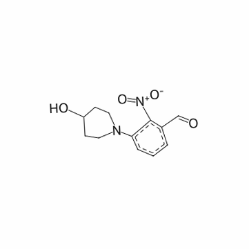 O=Cc1cccc(N2CCC(O)CC2)c1[N+](=O)[O-]